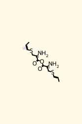 CC=CSC[C@H](N)C(=O)OC(=O)[C@@H](N)CS/C=C\C